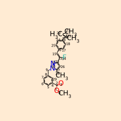 COC(=O)c1cccc(Cn2nc(/C(F)=C/c3ccc([Si](C)(C)C)cc3)cc2C)c1